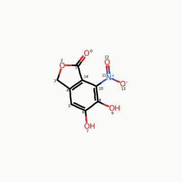 O=C1OCc2cc(O)c(O)c([N+](=O)[O-])c21